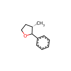 C[C@H]1CCOC1c1ccccc1